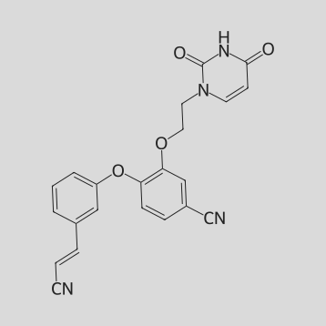 N#C/C=C/c1cccc(Oc2ccc(C#N)cc2OCCn2ccc(=O)[nH]c2=O)c1